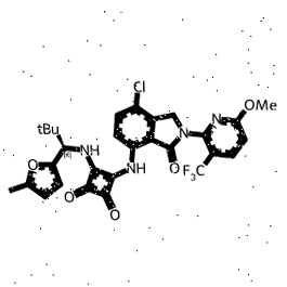 COc1ccc(C(F)(F)F)c(N2Cc3c(Cl)ccc(Nc4c(N[C@@H](c5ccc(C)o5)C(C)(C)C)c(=O)c4=O)c3C2=O)n1